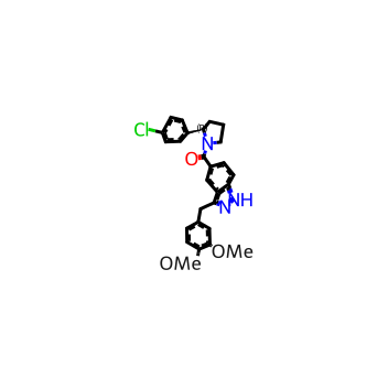 COc1ccc(Cc2n[nH]c3ccc(C(=O)N4CCC[C@@H]4c4ccc(Cl)cc4)cc23)cc1OC